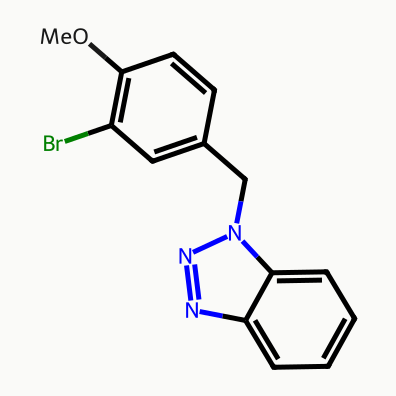 COc1ccc(Cn2nnc3ccccc32)cc1Br